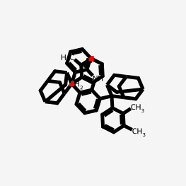 Cc1ccccc1C1(c2cccc(C3(c4cccc(C)c4C)C4CC5CC(C4)CC3C5)c2Nc2ccccc2N)C2CC3CC(C2)CC1C3